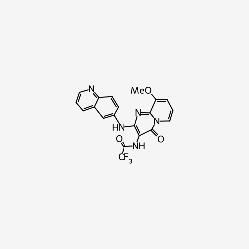 COc1cccn2c(=O)c(NC(=O)C(F)(F)F)c(Nc3ccc4ncccc4c3)nc12